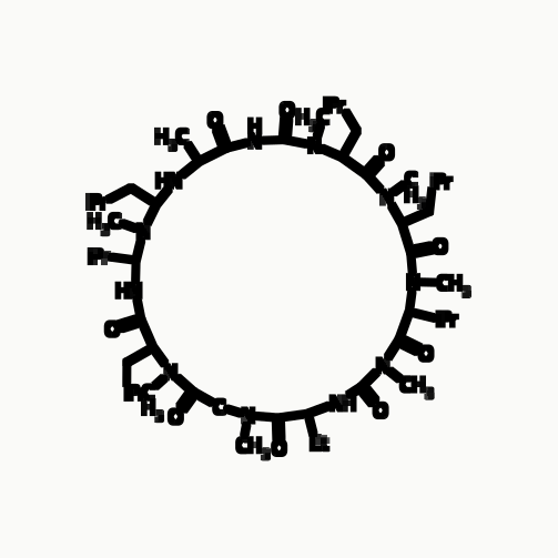 CCC1NC(=O)N(C)C(=O)C(C(C)C)N(C)C(=O)C(CC(C)C)N(C)C(=O)C(CC(C)C)N(C)C(=O)NC(=O)C(C)NC(CC(C)C)N(C)C(C(C)C)NC(=O)C(CC(C)C)N(C)C(=O)CN(C)C1=O